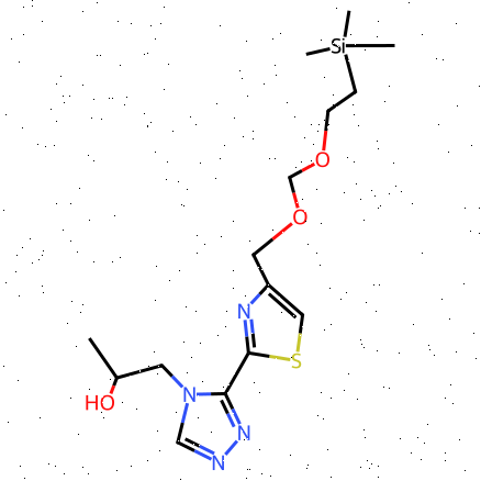 CC(O)Cn1cnnc1-c1nc(COCOCC[Si](C)(C)C)cs1